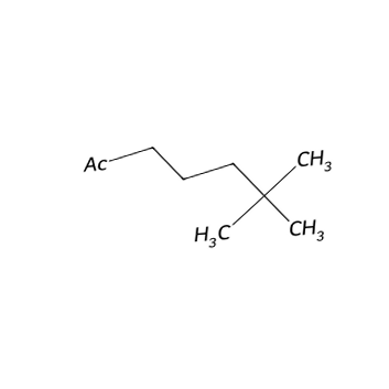 CC(=O)CCCC(C)(C)C